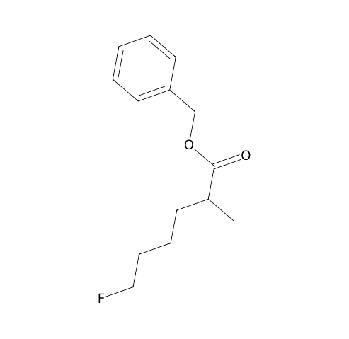 CC(CCCCF)C(=O)OCc1ccccc1